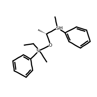 CC[Si](C)(O[C@H](C)[SiH](C)c1ccccc1)c1ccccc1